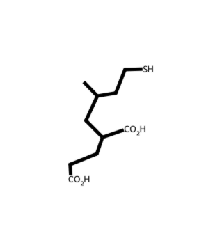 CC(CCS)CC(CCC(=O)O)C(=O)O